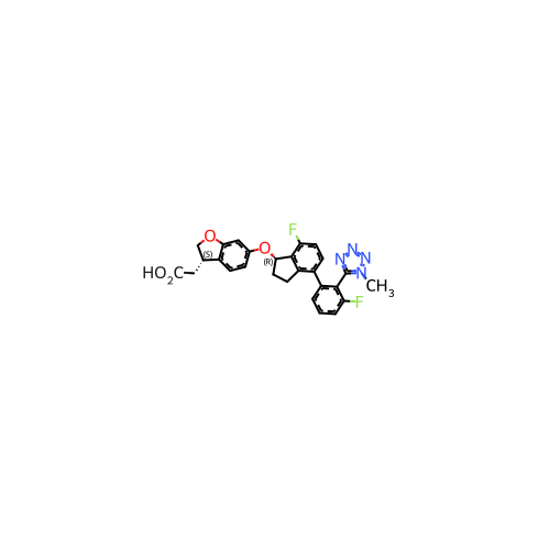 Cn1nnnc1-c1c(F)cccc1-c1ccc(F)c2c1CC[C@H]2Oc1ccc2c(c1)OC[C@H]2CC(=O)O